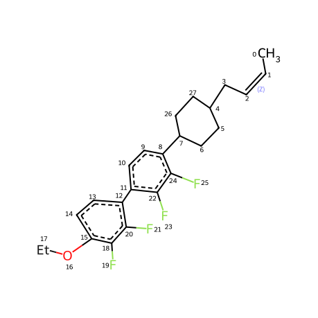 C/C=C\CC1CCC(c2ccc(-c3ccc(OCC)c(F)c3F)c(F)c2F)CC1